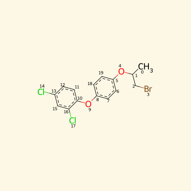 CC(CBr)Oc1ccc(Oc2ccc(Cl)cc2Cl)cc1